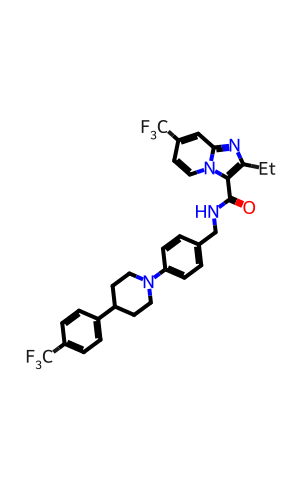 CCc1nc2cc(C(F)(F)F)ccn2c1C(=O)NCc1ccc(N2CCC(c3ccc(C(F)(F)F)cc3)CC2)cc1